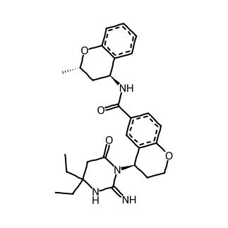 CCC1(CC)CC(=O)N([C@@H]2CCOc3ccc(C(=O)N[C@H]4C[C@H](C)Oc5ccccc54)cc32)C(=N)N1